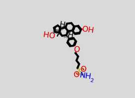 C[C@]12C[C@H](c3ccc(OCCCCCS(N)(=O)=O)cc3)[C@@H]3c4ccc(O)cc4CC[C@H]3[C@@H]1CC[C@@H]2O